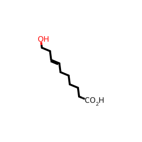 O=C(O)CCCCCC=CCCO